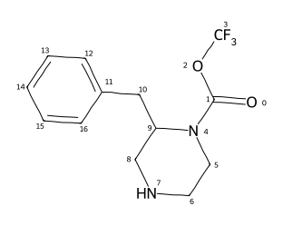 O=C(OC(F)(F)F)N1CCNCC1Cc1ccccc1